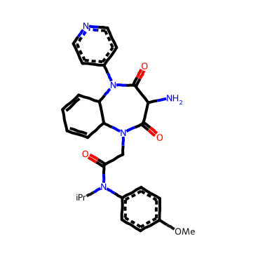 COc1ccc(N(C(=O)CN2C(=O)C(N)C(=O)N(c3ccncc3)C3C=CC=CC32)C(C)C)cc1